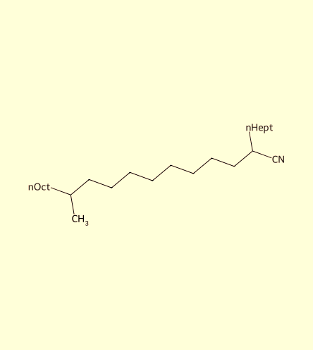 CCCCCCCCC(C)CCCCCCCCC(C#N)CCCCCCC